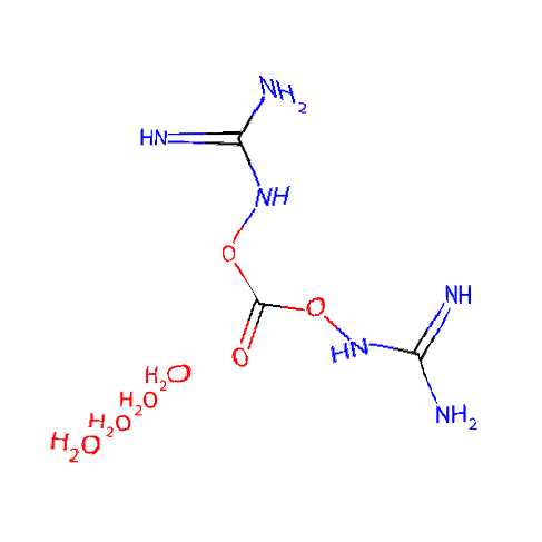 N=C(N)NOC(=O)ONC(=N)N.O.O.O.O